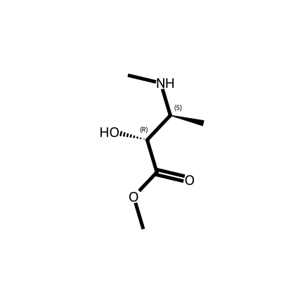 CN[C@@H](C)[C@@H](O)C(=O)OC